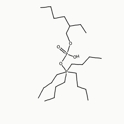 CCCCC(CC)COP(=O)(O)OP(CCCC)(CCCC)(CCCC)CCCC